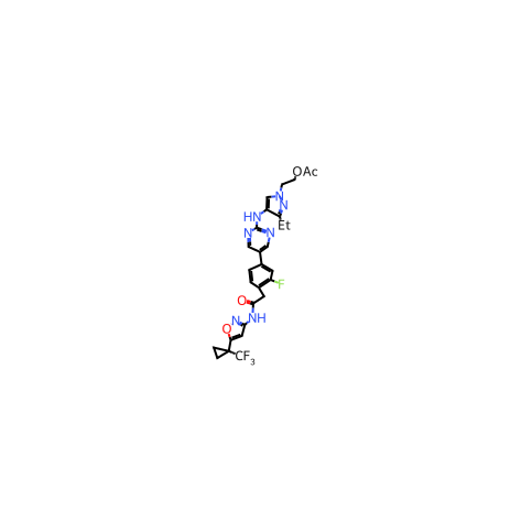 CCc1nn(CCOC(C)=O)cc1Nc1ncc(-c2ccc(CC(=O)Nc3cc(C4(C(F)(F)F)CC4)on3)c(F)c2)cn1